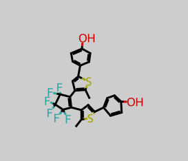 Cc1sc(-c2ccc(O)cc2)cc1C1=C(c2cc(-c3ccc(O)cc3)sc2C)C(F)(F)C(F)(F)C1(F)F